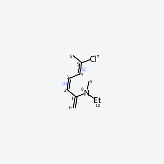 C=C(/C=C\C=C(/C)Cl)N(C)CC